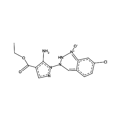 CCOC(=O)c1cnn(N2C=c3ccc(Cl)cc3=[N+]([O-])N2)c1N